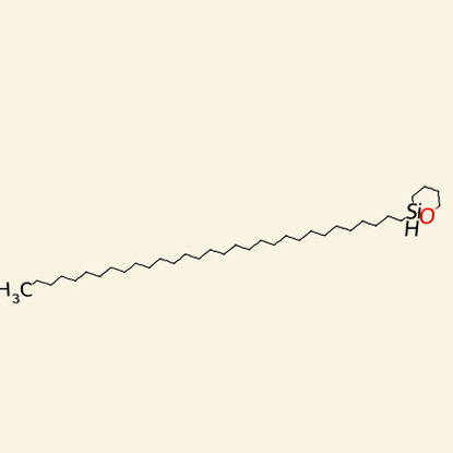 CCCCCCCCCCCCCCCCCCCCCCCCCCCCCCC[SiH]1CCCCO1